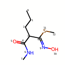 CCCC(C(=O)NC)C(=NO)SC